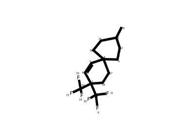 CC1CCC2(C=CC(C(F)(F)F)(C(F)(F)F)CC2)CC1